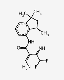 C[C@@H]1CC(C)(C)c2cccc(NC(=O)/C(=C/N)C(=N)C(F)F)c21